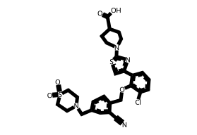 N#Cc1cc(CN2CCS(=O)(=O)CC2)ccc1COc1c(Cl)cccc1-c1csc(N2CCC(C(=O)O)CC2)n1